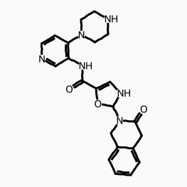 O=C(Nc1cnccc1N1CCNCC1)C1=CNC(N2Cc3ccccc3CC2=O)O1